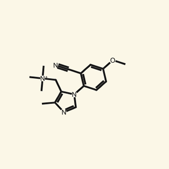 COc1ccc(-n2cnc(C)c2C[N+](C)(C)C)c(C#N)c1